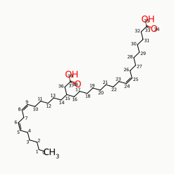 CCCCC/C=C\C/C=C\CCCCCC(CCCCCCCC/C=C\CCCCCCCC(=O)O)CC(=O)O